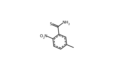 Cc1ccc([N+](=O)[O-])c(C(N)=S)c1